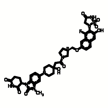 Cn1c(=O)n(C2CCC(=O)NC2=O)c2ccc(N3CCC(O)(CC(=O)N4CC[C@@H](COc5ccc6cc(O)c(N7CC(=O)NS7(=O)=O)c(F)c6c5)C4)CC3)cc21